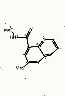 CONC(=O)c1cc(SC)cc2cccnc12